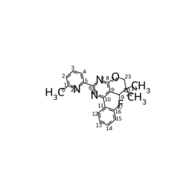 Cc1cccc(-c2nc3c(c(-c4ccccc4F)n2)CC(C)(C)CO3)n1